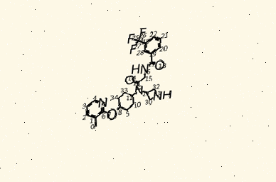 Cc1cccnc1OC1CCC(N(C(=O)CNC(=O)c2cccc(C(F)(F)F)c2)C2CNC2)CC1